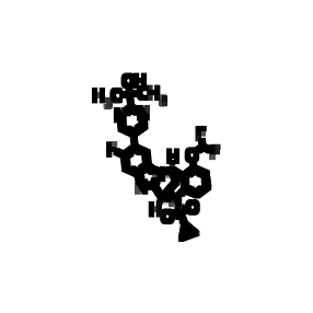 CC(C)(O)c1ncc(-c2cc3c(cc2F)nc2n3[C@@H]3C[C@H]2N(S(=O)(=O)C2CC2)c2cccc(OC(F)F)c23)cn1